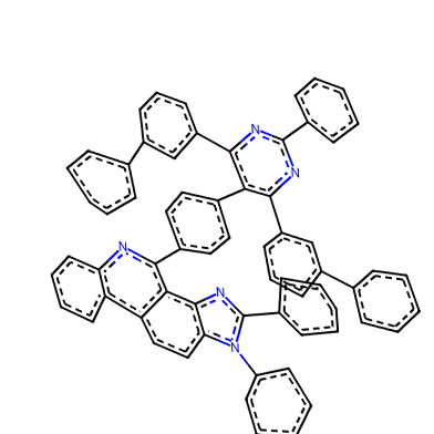 c1ccc(-c2cccc(-c3nc(-c4ccccc4)nc(-c4cccc(-c5ccccc5)c4)c3-c3ccc(-c4nc5ccccc5c5ccc6c(nc(-c7ccccc7)n6-c6ccccc6)c45)cc3)c2)cc1